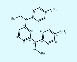 CCC(C)CC(c1ccc(C)cc1)c1cccc(C(CC(C)CC)c2ccc(C)cc2)c1